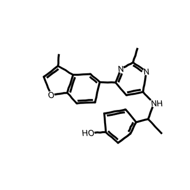 Cc1nc(NC(C)c2ccc(O)cc2)cc(-c2ccc3occ(C)c3c2)n1